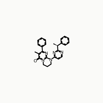 Cc1c(-c2ccccc2)nc2n(c1=O)CCCN2c1ccnc([C@@H](C)c2ccccc2)n1